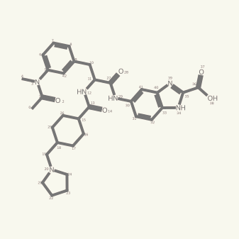 CC(=O)N(C)c1cccc(CC(NC(=O)C2CCC(CN3CCCC3)CC2)C(=O)Nc2ccc3[nH]c(C(=O)O)nc3c2)c1